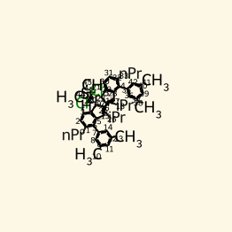 CCCc1ccc2c(c1-c1cc(C)cc(C)c1)C=C(CC(C)C)[CH]2[Zr]([Cl])([Cl])([CH]1C(CC(C)C)=Cc2c1ccc(CCC)c2-c1cc(C)cc(C)c1)[SiH](C)C